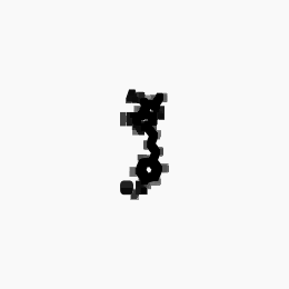 CC(=O)c1c(C)nn2c(CCCc3ccc([N+](=O)[O-])cc3)n[nH]c12